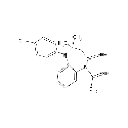 CC(=N)N1C(=N)CC(C)(C)N(c2ccc(Cl)cc2)c2ccccc21